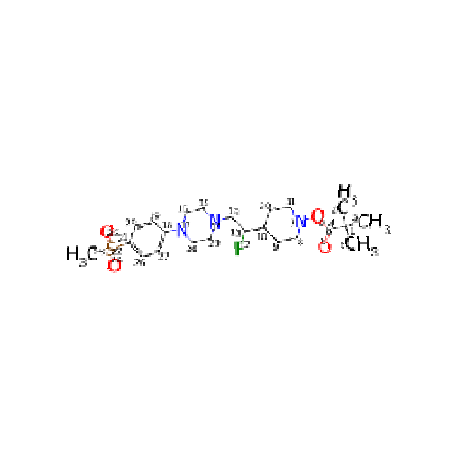 CC(C)(C)C(=O)ON1CCC(C(F)CN2CCN(c3ccc(S(C)(=O)=O)cc3)CC2)CC1